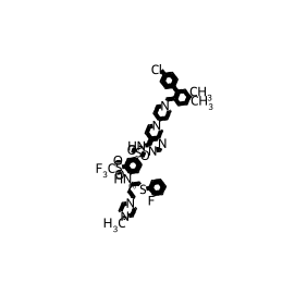 CN1CCN(CC[C@H](CSc2ccccc2F)Nc2ccc(S(=O)(=O)Nc3ncnc4c3CCN(C3CCN(CC5=C(c6ccc(Cl)cc6)CC(C)(C)CC5)CC3)C4)cc2S(=O)(=O)C(F)(F)F)CC1